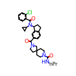 CCCNC(=O)N1CCC2(CC1)CCN(C(=O)c1ccc3c(c1)C(N(C(=O)c1ccccc1Cl)C1CC1)CC3)C2